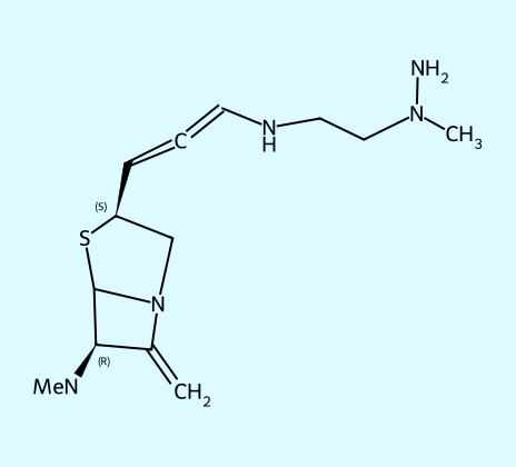 C=C1[C@@H](NC)C2S[C@@H](C=C=CNCCN(C)N)CN12